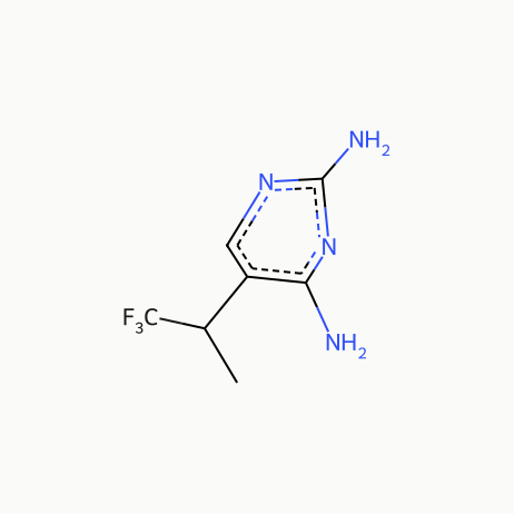 CC(c1cnc(N)nc1N)C(F)(F)F